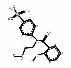 COc1ccccc1C(=O)N(CCSC)c1ccc(S(N)(=O)=O)cc1